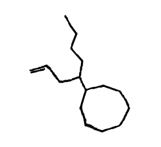 C=CCC(CCCC)C1CCCCCCC1